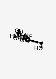 CC(CCn1cnc2c(F)c(C#CC#C[C@@H]3C[C@H]3CO)ccc2c1=O)(C(=O)NO)S(C)(=O)=O